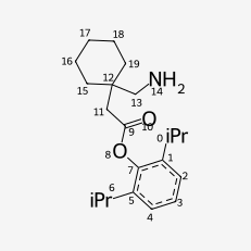 CC(C)c1cccc(C(C)C)c1OC(=O)CC1(CN)CCCCC1